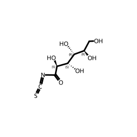 O=C(N=C=S)[C@@H](O)[C@@H](O)[C@H](O)[C@H](O)CO